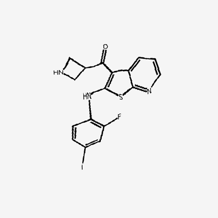 O=C(c1c(Nc2ccc(I)cc2F)sc2ncccc12)C1CNC1